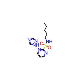 CCCCCNS(=O)(=O)c1ncccn1.c1nc[nH]n1